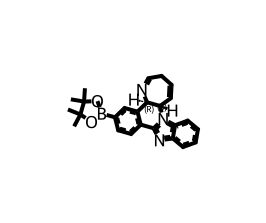 CC1(C)OB(c2ccc3c(c2)[C@H]2N=CCC=C[C@@H]2n2c-3nc3ccccc32)OC1(C)C